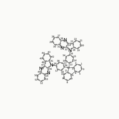 c1ccc2c(c1)-c1ccccc1C2(c1ccc(-n2c3ccccc3c3nc4ccccc4nc32)cc1)c1ccc(-n2c3ccccc3c3nc4ccccc4nc32)cc1